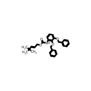 CC(C)(C)C=CCOC(=O)Nc1cccc(OCc2ccccc2)c1OCc1ccccc1